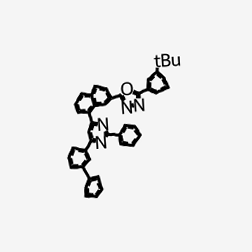 CC(C)(C)c1cccc(-c2nnc(-c3ccc4cccc(-c5cc(-c6cccc(-c7ccccc7)c6)nc(-c6ccccc6)n5)c4c3)o2)c1